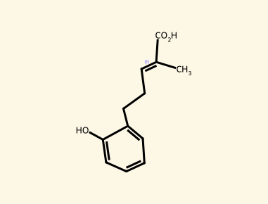 C/C(=C\CCc1ccccc1O)C(=O)O